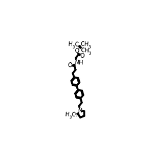 C[C@@H]1CCCN1CCc1ccc(-c2ccc(CCC(=O)NCC(=O)OC(C)(C)C)cc2)cc1